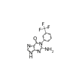 Nc1nc2[nH]cnc2c(=O)n1-c1cccc(C(F)(F)F)c1